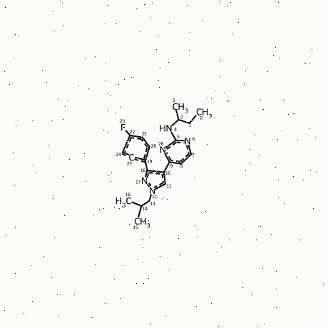 CCC(C)Nc1nccc(-c2cn(CC(C)C)nc2-c2ccc(F)cc2)n1